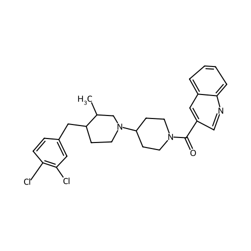 CC1CN(C2CCN(C(=O)c3cnc4ccccc4c3)CC2)CCC1Cc1ccc(Cl)c(Cl)c1